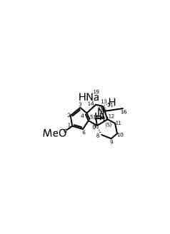 COc1ccc2c(c1)[C@]13CCCC[C@@H]1[C@H](C2)N(C)CC3.[NaH]